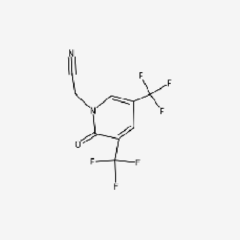 N#CCn1cc(C(F)(F)F)cc(C(F)(F)F)c1=O